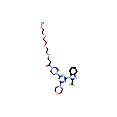 NOCCOCCOCCOCCC(=O)N1CCN(c2nc(N3CCOCC3)nc(-n3c(C(F)F)nc4ccccc43)n2)CC1